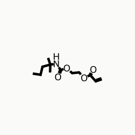 C=CC(=O)OCCOC(=O)NC(C)(C)CCC